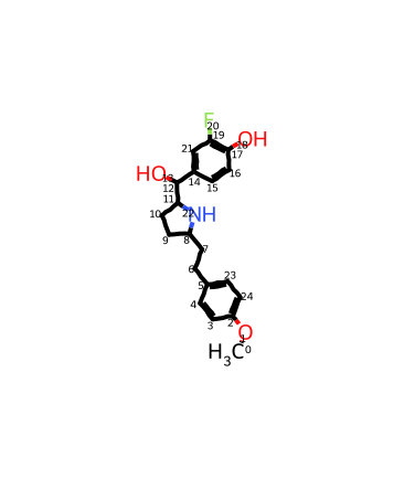 COc1ccc(CCC2CCC(C(O)c3ccc(O)c(F)c3)N2)cc1